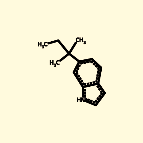 CCC(C)(C)c1ccc2cc[nH]c2c1